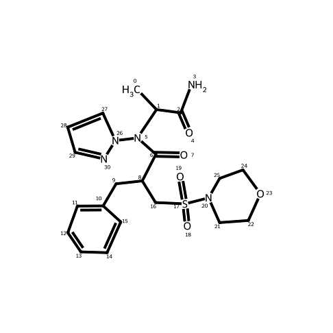 CC(C(N)=O)N(C(=O)C(Cc1ccccc1)CS(=O)(=O)N1CCOCC1)n1cccn1